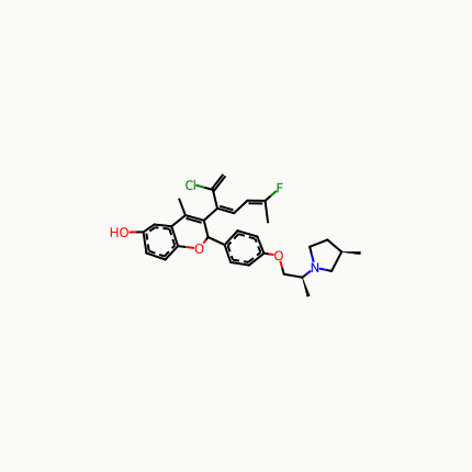 C=C(Cl)/C(=C\C=C(/C)F)C1=C(C)c2cc(O)ccc2OC1c1ccc(OC[C@H](C)N2CC[C@@H](C)C2)cc1